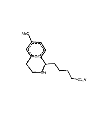 COc1ccc2c(c1)CCNC2CCCCS(=O)(=O)O